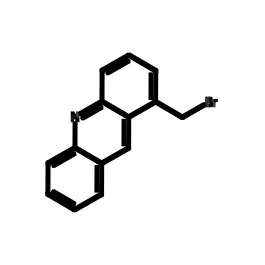 BrCc1cccc2nc3ccccc3cc12